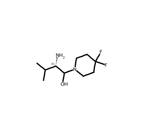 CC(C)[C@H](N)C(O)N1CCC(F)(F)CC1